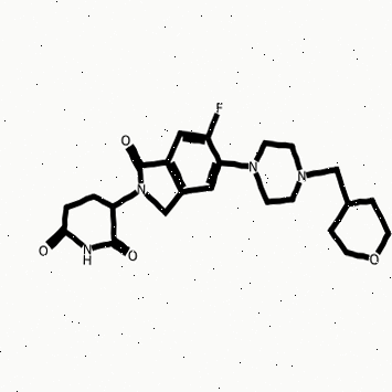 O=C1CCC(N2Cc3cc(N4CCN(CC5CCOCC5)CC4)c(F)cc3C2=O)C(=O)N1